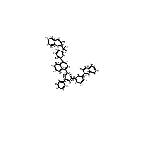 CC1(C)c2cc(-c3ccc(-c4nc(-c5ccccc5)cc(-c5cccc(-c6ccc7ccccc7c6)c5)n4)c4ccccc34)ccc2-c2c1ccc1ccccc21